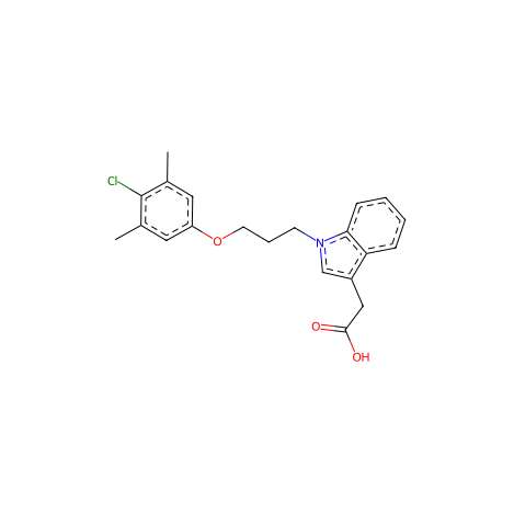 Cc1cc(OCCCn2cc(CC(=O)O)c3ccccc32)cc(C)c1Cl